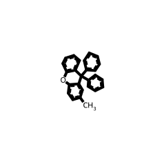 Cc1ccc2c(c1)C(c1ccccc1)(c1ccccc1)c1ccccc1O2